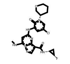 CNc1cc(Nc2cc(Cl)cn([C@H]3CCCOC3)c2=O)nc2c(C(=O)N[C@@H]3C[C@@H]3F)cnn12